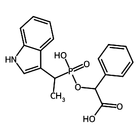 CC(c1c[nH]c2ccccc12)P(=O)(O)OC(C(=O)O)c1ccccc1